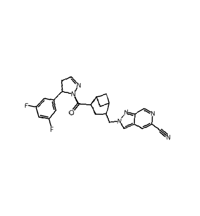 N#Cc1cc2cn(CC3CC(C(=O)N4N=CCC4c4cc(F)cc(F)c4)C4CC3C4)nc2cn1